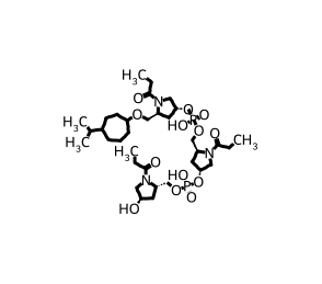 CCC(=O)N1C[C@H](O)C[C@H]1COP(=O)(O)O[C@@H]1C[C@@H](COP(=O)(O)O[C@@H]2C[C@@H](COC3CCCC(C(C)C)CC3)N(C(=O)CC)C2)N(C(=O)CC)C1